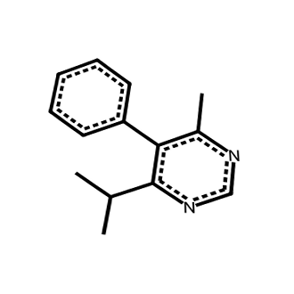 Cc1ncnc(C(C)C)c1-c1ccccc1